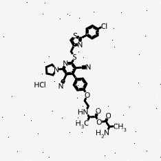 CC(N)C(=O)OC(=O)C(C)NCCOc1ccc(-c2c(C#N)c(SCc3csc(-c4ccc(Cl)cc4)n3)nc(N3CCCC3)c2C#N)cc1.Cl